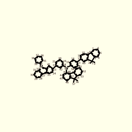 CC1(C)c2ccccc2-c2ccc(-c3ccc(N(c4cccc(-c5ccc6c7ccccc7n(-c7ccccc7)c6c5)c4)c4cccc5c4-c4ccccc4C5(C)C)cc3)cc21